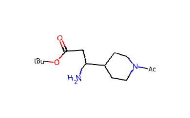 CC(=O)N1CCC(C(N)CC(=O)OC(C)(C)C)CC1